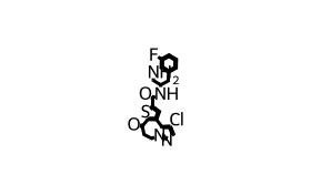 NCC(Cc1cccc(F)c1)NC(=O)c1cc2c(s1)C(=O)CCn1ncc(Cl)c1-2